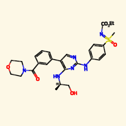 CCOC(=O)N=S(C)(=O)c1ccc(Nc2ncc(-c3cccc(C(=O)N4CCOCC4)c3)c(N[C@H](C)CO)n2)cc1